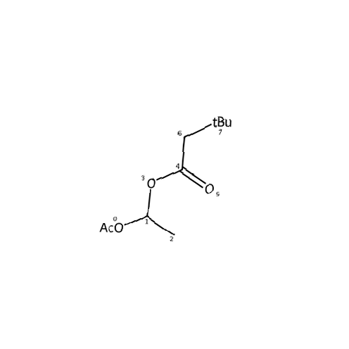 CC(=O)OC(C)OC(=O)CC(C)(C)C